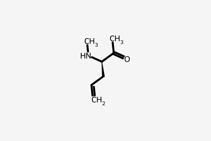 C=CC[C@@H](NC)C(C)=O